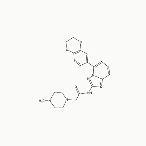 CN1CCN(CC(=O)Nc2nc3cccc(-c4ccc5c(c4)OCCO5)n3n2)CC1